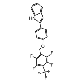 Fc1c(F)c(C(F)(F)F)c(F)c(F)c1COc1ccc(-c2[c]c3ccccc3[nH]2)cc1